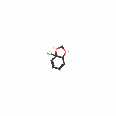 CC(=O)C12C=CC=CC1OCO2